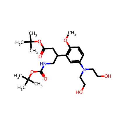 COc1ccc(N(CCO)CCO)cc1C(CNC(=O)OC(C)(C)C)CC(=O)OC(C)(C)C